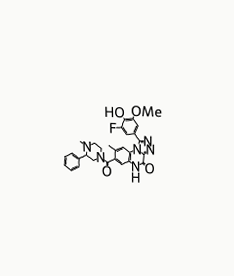 COc1cc(-c2nnc3c(=O)[nH]c4cc(C(=O)N5CCN(C)C(c6ccccc6)C5)c(C)cc4n23)cc(F)c1O